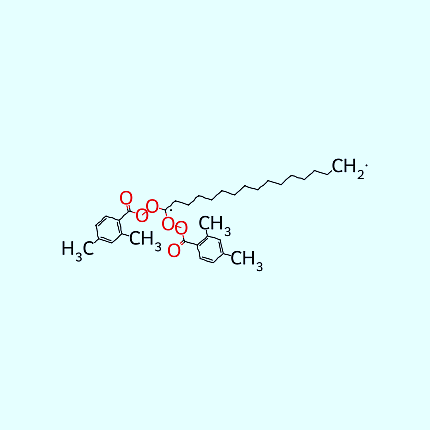 [CH2]CCCCCCCCCCCCCC[C](OOC(=O)c1ccc(C)cc1C)OOC(=O)c1ccc(C)cc1C